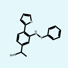 CNC(C)c1ccc(-c2ccco2)c(NSc2ccccc2)c1